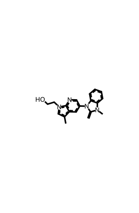 C=C1N(C)c2ccccc2N1c1cnc2c(c1)c(C)cn2CCO